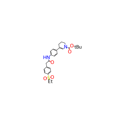 CCS(=O)(=O)c1ccc(CC(=O)Nc2ccc(C3=CN(C(=O)OC(C)(C)C)CCC3)cc2)cc1